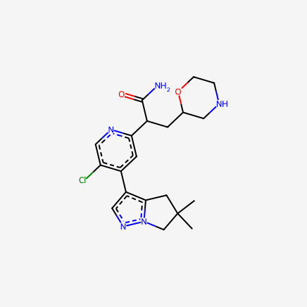 CC1(C)Cc2c(-c3cc(C(CC4CNCCO4)C(N)=O)ncc3Cl)cnn2C1